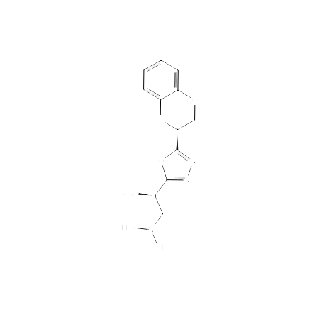 CCCCC[C@H](CN(O)C=O)c1nnc([C@@H]2COc3ccccc3O2)o1